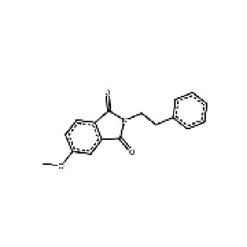 COc1ccc2c(c1)C(=O)N(CCc1ccccc1)C2=O